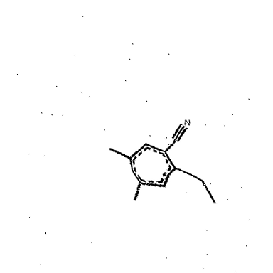 CCc1cc(C)c(C)cc1C#N